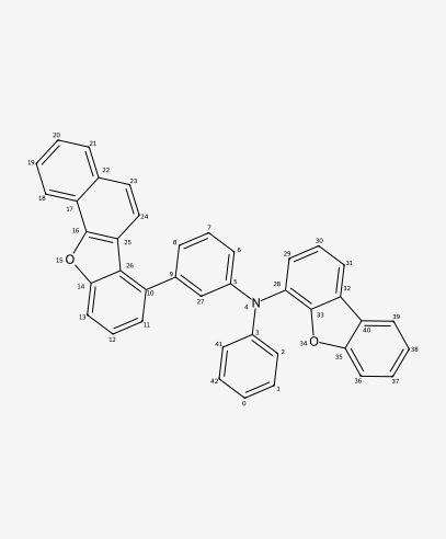 c1ccc(N(c2cccc(-c3cccc4oc5c6ccccc6ccc5c34)c2)c2cccc3c2oc2ccccc23)cc1